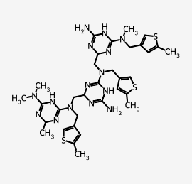 Cc1cc(CN(C)C2=NC(CN(Cc3csc(C)c3)C3=NC(CN(Cc4csc(C)c4)C4=NC(C)N=C(N(C)C)N4)N=C(N)N3)N=C(N)N2)cs1